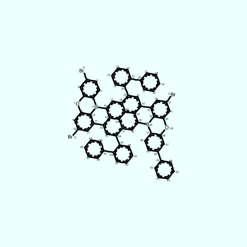 Brc1ccc2c(c1)Oc1cc(Br)cc3c1B2c1cc2c(-c4ccccc4-c4ccccc4)cc4c5c(cc6c(-c7ccccc7-c7ccccc7)cc-3c1c6c25)B1c2ccc(-c3ccccc3)cc2Oc2cc(Br)cc-4c21